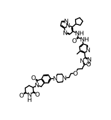 Cc1cc(NC(=O)Nc2cnc3ccnn3c2C2CCCC2)cnc1-c1noc(CCOCCN2CCN(c3ccc4c(c3)CN(C3CCC(=O)NC3=O)C4=O)CC2)n1